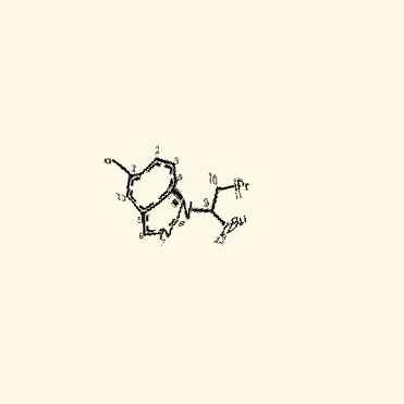 Cc1ccc2c(cnn2C(CC(C)C)C(C)(C)C)c1